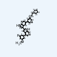 COc1cc(F)cc(-c2cncc3[nH]c(-c4n[nH]c5ncc(-c6cncc(OCCN7CCCC7)c6)cc45)cc23)c1